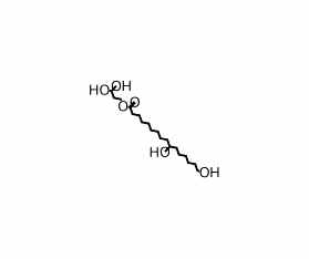 O=C(CCCCCCCCC(O)CCCCCCO)OCCC(O)O